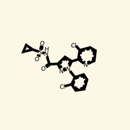 O=C(NS(=O)(=O)C1CC1)c1cc(-c2ncccc2Cl)n(-c2ccccc2Cl)n1